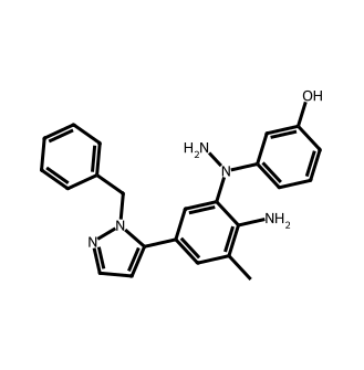 Cc1cc(-c2ccnn2Cc2ccccc2)cc(N(N)c2cccc(O)c2)c1N